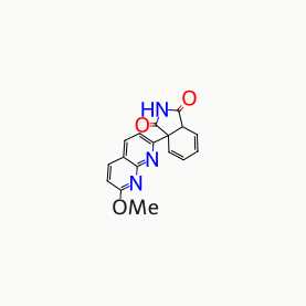 COc1ccc2ccc(C34C=CC=CC3C(=O)NC4=O)nc2n1